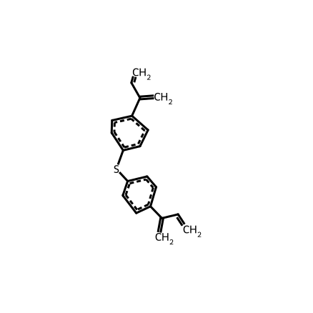 C=CC(=C)c1ccc(Sc2ccc(C(=C)C=C)cc2)cc1